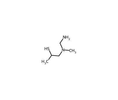 CC(S)CN(C)CN